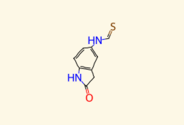 O=C1Cc2cc(NC=S)ccc2N1